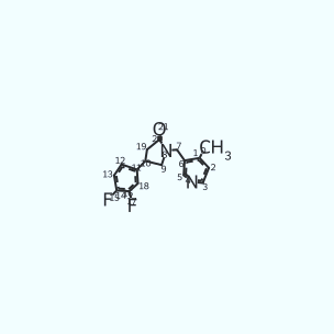 Cc1ccncc1CN1CC(c2ccc(F)c(F)c2)CC1=O